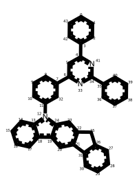 c1ccc(-c2cc(-c3cccc(-n4c5ccccc5c5cc6c(cc54)Cc4ccccc4-6)c3)nc(-c3ccccc3)n2)cc1